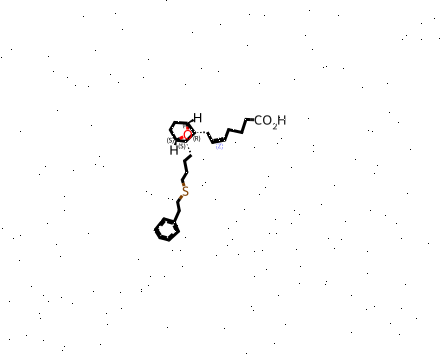 O=C(O)CCC/C=C\C[C@@H]1[C@H](CCCCSCCc2ccccc2)[C@@H]2CC[C@H]1O2